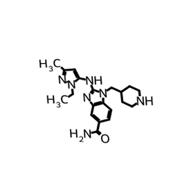 CCn1nc(C)cc1Nc1nc2cc(C(N)=O)ccc2n1CC1CCNCC1